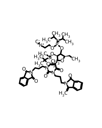 [C-]#[N+]CCOP(OC1[C@@H](CC)O[C@@H](c2cn(CCCN3C(=O)c4ccccc4C3=O)c(=O)n(CCCN3C(=C)c4ccccc4C3=O)c2=O)[C@H]1O[Si](C)(C)C(C)(C)C)N(C(C)C)C(C)C